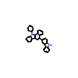 c1ccc(-n2c3ccccc3c3cc(-c4ccc5[nH]c6ccccc6c5c4)c4ccccc4c32)cc1